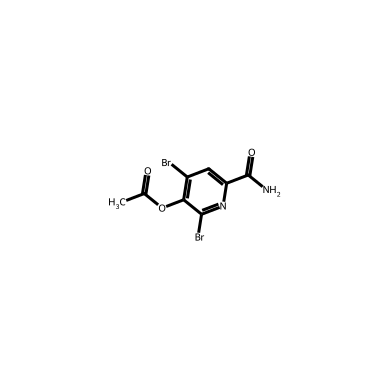 CC(=O)Oc1c(Br)cc(C(N)=O)nc1Br